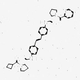 O=C(Nc1ccc(/C=C/c2ccc(NC(=O)[C@@H]3CCCN3C(=O)C3CCC3)cc2)cc1)[C@@H]1CCCN1C(=O)c1ccccn1